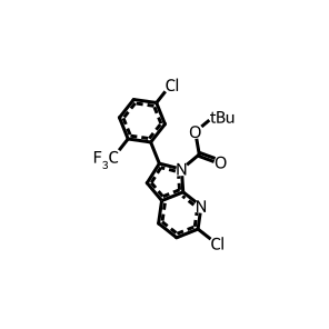 CC(C)(C)OC(=O)n1c(-c2cc(Cl)ccc2C(F)(F)F)cc2ccc(Cl)nc21